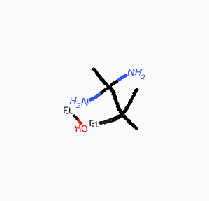 CCC(C)(C)C(C)(N)N.CCO